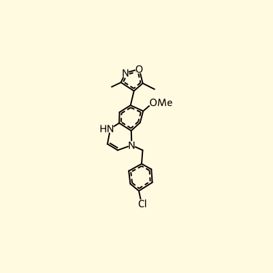 COc1cc2c(cc1-c1c(C)noc1C)NC=CN2Cc1ccc(Cl)cc1